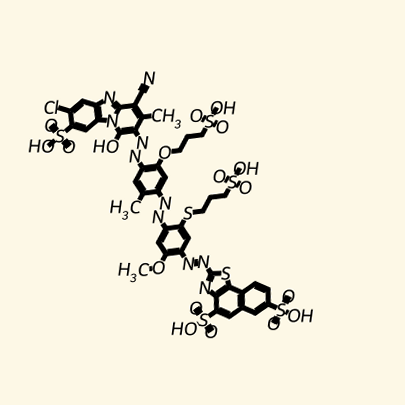 COc1cc(N=Nc2cc(OCCCS(=O)(=O)O)c(N=Nc3c(C)c(C#N)c4nc5cc(Cl)c(S(=O)(=O)O)cc5n4c3O)cc2C)c(SCCCS(=O)(=O)O)cc1N=Nc1nc2c(S(=O)(=O)O)cc3cc(S(=O)(=O)O)ccc3c2s1